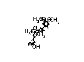 COc1ccc(CCNC(=O)C(C)(C)CCCCC(=O)O)cc1OC